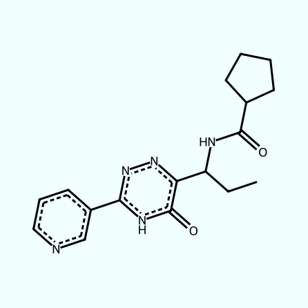 CCC(NC(=O)C1CCCC1)c1nnc(-c2cccnc2)[nH]c1=O